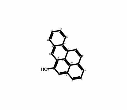 Oc1cc2cccc3ccc4c5ccccc5[c]c1c4c32